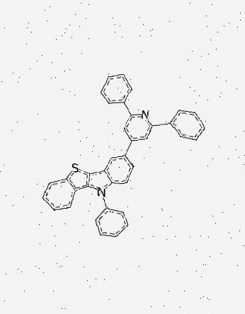 c1ccc(-c2cc(-c3ccc4c(c3)c3sc5ccccc5c3n4-c3ccccc3)cc(-c3ccccc3)n2)cc1